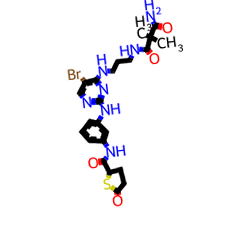 CC(C)(C(N)=O)C(=O)NCCCNc1nc(Nc2cccc(NC(=O)C3CCC(=O)S3)c2)ncc1Br